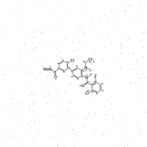 CNC(=O)c1ccc(Cl)c(-c2ccc(N(C)C(=O)c3c(F)cccc3Cl)c(N(C)CC(F)(F)F)c2)c1